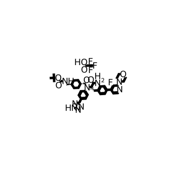 CC(C)(C)OC(=O)NC[C@H]1CC[C@H](C(=O)N(c2ccc(-c3nn[nH]n3)cc2)[C@@H](Cc2ccc(-c3ccnc(N4CCOCC4)c3F)cc2)C(N)=O)CC1.O=C(O)C(F)(F)F